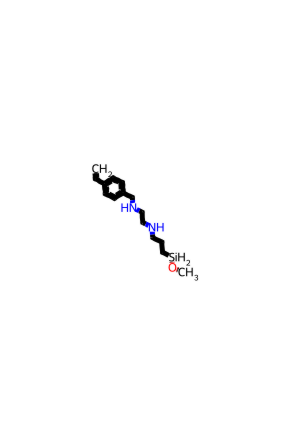 C=Cc1ccc(CNCCNCCC[SiH2]OC)cc1